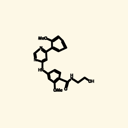 COc1cc(Nc2cc(-c3ccccc3OC)ncn2)ccc1C(=O)NCCO